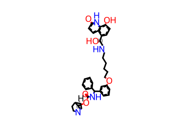 O=C(NC(c1ccccc1)c1cccc(OCCCCCCNC[C@@H](O)c2ccc(O)c3[nH]c(=O)ccc23)c1)O[C@H]1CN2CCC1CC2